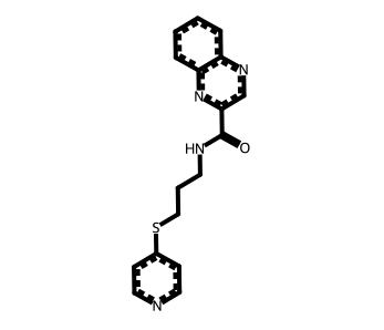 O=C(NCCCSc1ccncc1)c1cnc2ccccc2n1